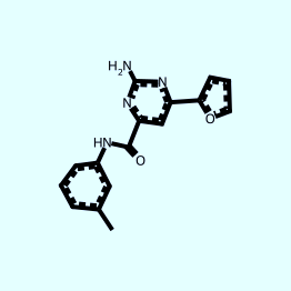 Cc1cccc(NC(=O)c2cc(-c3ccco3)nc(N)n2)c1